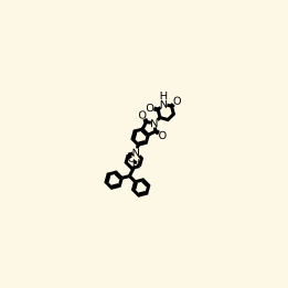 O=C1CCC(N2C(=O)c3ccc(N4CC5CCC4CN5C(c4ccccc4)c4ccccc4)cc3C2=O)C(=O)N1